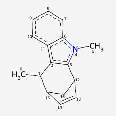 CC1c2c(n(C)c3ccccc23)C2C=CC1C2